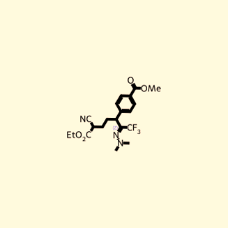 CCOC(=O)C(C#N)CCC(/C(=N/N(C)C)C(F)(F)F)c1ccc(C(=O)OC)cc1